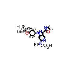 CCN(C(=O)O)c1cc2c(cn1)c(-c1ncco1)nn2C1CCC(O[Si](C)(C)C(C)(C)C)CC1